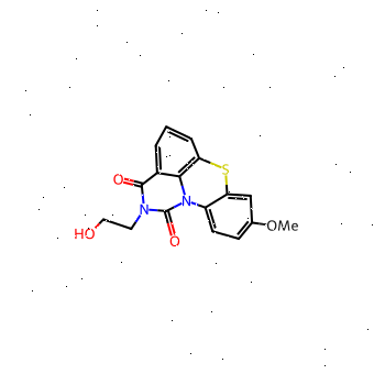 COc1ccc2c(c1)Sc1cccc3c(=O)n(CCO)c(=O)n-2c13